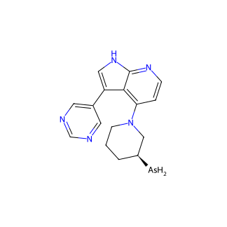 [AsH2][C@H]1CCCN(c2ccnc3[nH]cc(-c4cncnc4)c23)C1